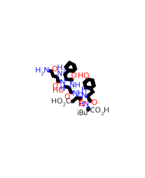 CCC(C)C(NC(=O)C(Cc1ccc(O)cc1)NC(=O)C(CC(=O)O)NC(=O)C(CO)NC(=O)C(Cc1ccccc1)NC(=O)C(N)CC(N)=O)C(=O)O